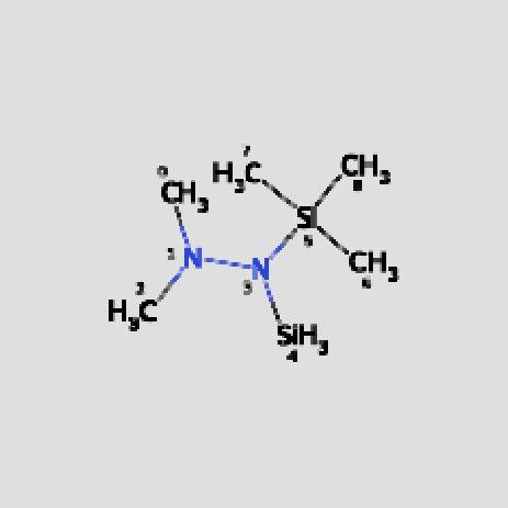 CN(C)N([SiH3])[Si](C)(C)C